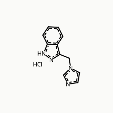 Cl.c1ccc2c(Cn3ccnc3)n[nH]c2c1